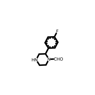 O=CN1CCNCC1c1ccc(F)cc1